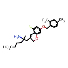 CC(N)(CCCC(=O)O)CC1=Cc2c(F)cc(OCc3ccc(C(F)(F)F)cc3C(F)(F)F)cc2OC1